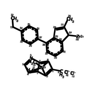 CC1=C2C3=CC=NC3=C1[Si]2(C)C.CCc1ccc(-c2cccc3c2C=C(C)[CH]3[Zr+2])cc1.[Cl-].[Cl-]